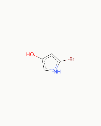 Oc1c[nH]c(Br)c1